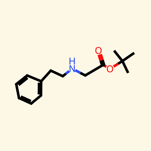 CC(C)(C)OC(=O)CNCCc1ccccc1